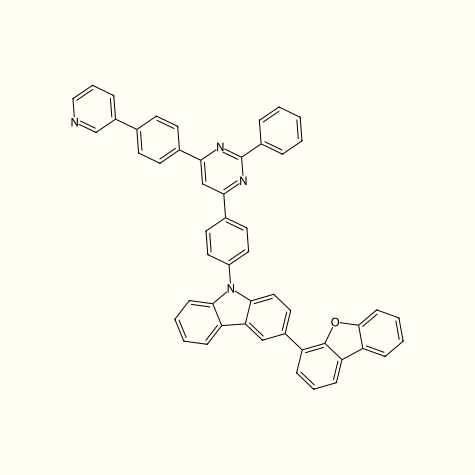 c1ccc(-c2nc(-c3ccc(-c4cccnc4)cc3)cc(-c3ccc(-n4c5ccccc5c5cc(-c6cccc7c6oc6ccccc67)ccc54)cc3)n2)cc1